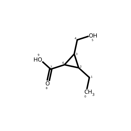 CCC1C(CO)C1C(=O)O